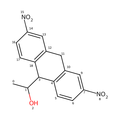 CC(O)C1c2ccc([N+](=O)[O-])cc2Cc2cc([N+](=O)[O-])ccc21